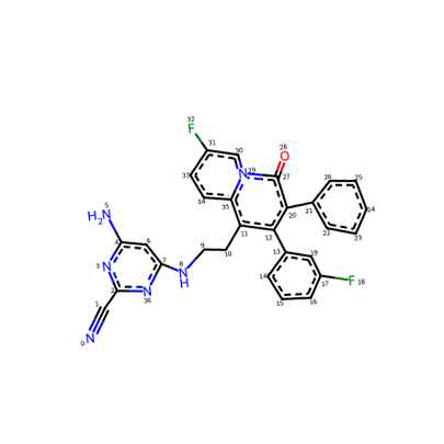 N#Cc1nc(N)cc(NCCc2c(-c3cccc(F)c3)c(-c3ccccc3)c(=O)n3cc(F)ccc23)n1